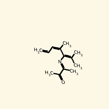 C=C/C=C(/C)C(/N=C(\C)C(C)=O)=C(C)C